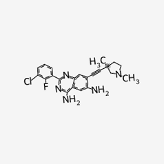 CN1CC[C@](C)(C#Cc2cc3nc(-c4cccc(Cl)c4F)nc(N)c3cc2N)C1